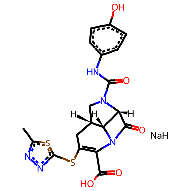 Cc1nnc(SC2=C(C(=O)O)N3C(=O)[C@@H]4[C@H]3[C@H](C2)CN4C(=O)Nc2ccc(O)cc2)s1.[NaH]